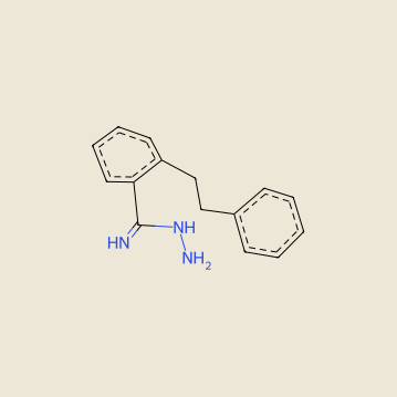 N=C(NN)c1ccccc1CCc1ccccc1